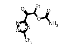 CCC(OC(N)=O)C(=O)c1noc(C(F)(F)F)n1